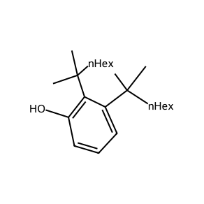 CCCCCCC(C)(C)c1cccc(O)c1C(C)(C)CCCCCC